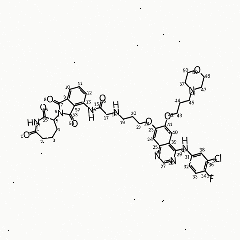 O=C1CCCC(N2C(=O)c3cccc(NC(=O)CNCCCOc4cc5ncnc(Nc6ccc(F)c(Cl)c6)c5cc4OCCCN4CCOCC4)c3C2=O)C(=O)N1